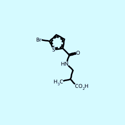 CC(CNC(=O)c1ccc(Br)s1)C(=O)O